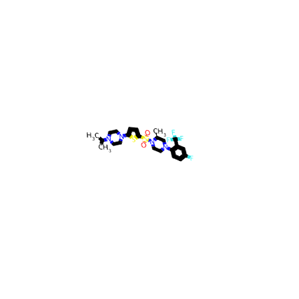 CC(C)N1CCN(c2ccc(S(=O)(=O)N3CCN(c4ccc(F)cc4C(F)(F)F)C[C@H]3C)s2)CC1